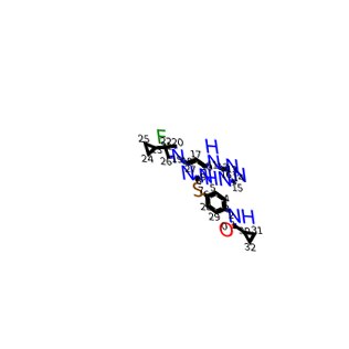 O=C(Nc1ccc(Sc2nc(Nc3nnc[nH]3)cc(N3CC(F)(C4CC4)C3)n2)cc1)C1CC1